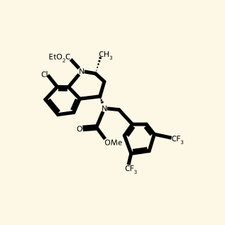 CCOC(=O)N1c2c(Cl)cccc2[C@@H](N(Cc2cc(C(F)(F)F)cc(C(F)(F)F)c2)C(=O)OC)C[C@H]1C